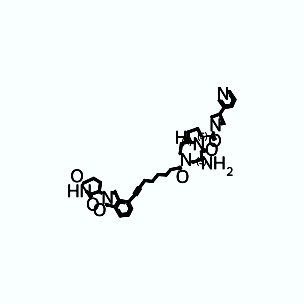 N[C@H]1CN(C(=O)CCCCCC#Cc2cccc3c2CN(C2CCC(=O)NC2=O)C3=O)CC[C@H]2CC[C@@H](C(=O)N3CC(c4cccnc4)C3)N2C1=O